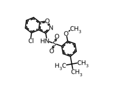 COc1ccc(C(C)(C)C)cc1S(=O)(=O)Nc1noc2cccc(Cl)c12